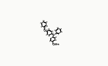 COc1ccc(N(c2ccccc2)c2ccc(Oc3ccccc3)cc2)cc1